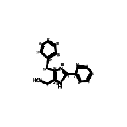 OCc1[nH]c(-c2ccccc2)nc1Cc1ccccc1